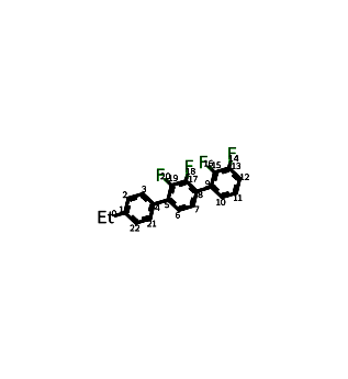 CCc1ccc(-c2ccc(-c3cccc(F)c3F)c(F)c2F)cc1